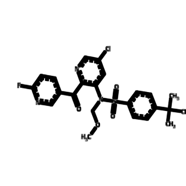 COCN(c1cc(Cl)cnc1C(=O)c1ccc(F)nc1)S(=O)(=O)c1ccc(C(C)(C)C)cc1